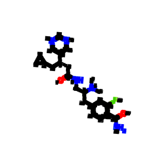 CN(C)[C@H](CNC(=O)C[C@H](CC1CC1)c1cncnc1)Cc1ccc(C(N)=O)c(F)c1